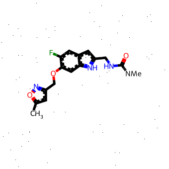 CNC(=O)NCc1cc2cc(F)c(OCc3cc(C)on3)cc2[nH]1